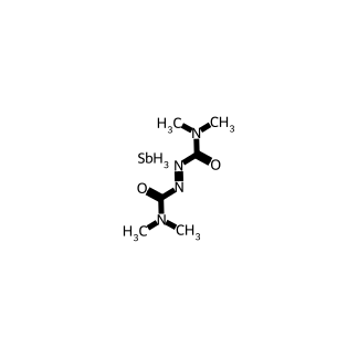 CN(C)C(=O)N=NC(=O)N(C)C.[SbH3]